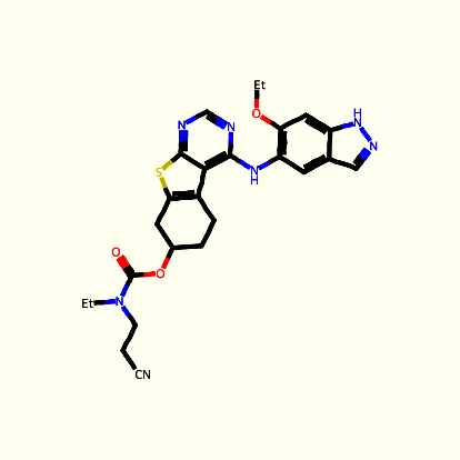 CCOc1cc2[nH]ncc2cc1Nc1ncnc2sc3c(c12)CCC(OC(=O)N(CC)CCC#N)C3